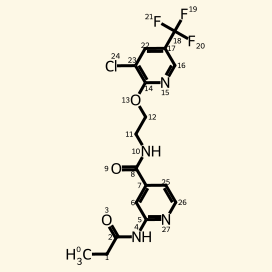 CCC(=O)Nc1cc(C(=O)NCCOc2ncc(C(F)(F)F)cc2Cl)ccn1